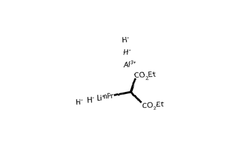 CCCC(C(=O)OCC)C(=O)OCC.[Al+3].[H-].[H-].[H-].[H-].[Li+]